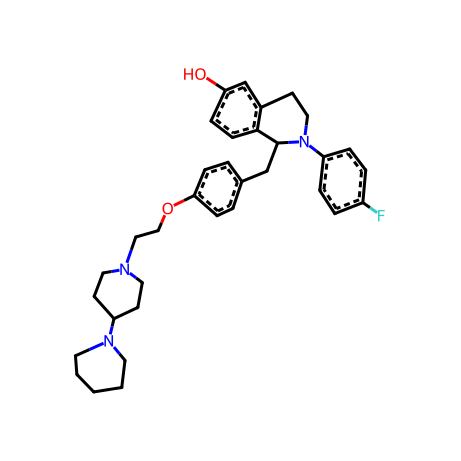 Oc1ccc2c(c1)CCN(c1ccc(F)cc1)C2Cc1ccc(OCCN2CCC(N3CCCCC3)CC2)cc1